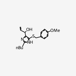 C=CC(O)c1nc(CCCC)[nH]c1SCc1ccc(OC)cc1